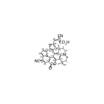 CC1(C)CCN2CCC(C)(C)c3c2c1cc1cc(C=C(C#N)c2ccc(-c4ccc(C=C(C#N)C(=O)O)s4)s2)c(=O)oc31